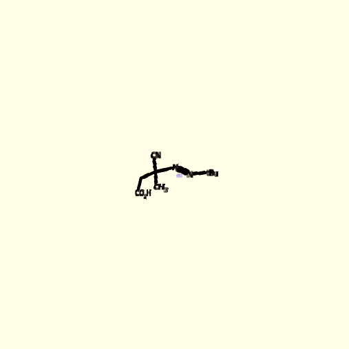 CC(C)(C)/N=N/C(C)(C#N)CC(=O)O